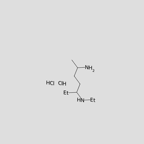 CCNC(CC)CCC(C)N.Cl.Cl